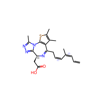 C=C/C=C(C)\C=C/CC1=N[C@@H](CC(=O)O)c2nnc(C)n2-c2sc(C)c(C)c21